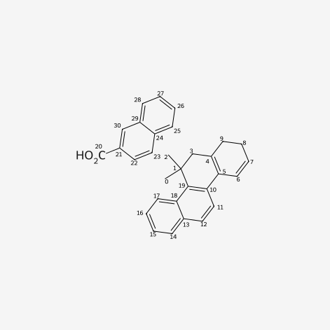 CC1(C)CC2=C(C=CCC2)c2ccc3ccccc3c21.O=C(O)c1ccc2ccccc2c1